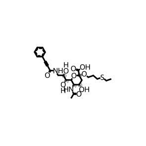 CCSCCCO[C@]1(C(=O)O)C[C@H](O)[C@@H](NC(C)=O)C([C@H](O)[C@H](O)CNC(=O)C#Cc2ccccc2)O1